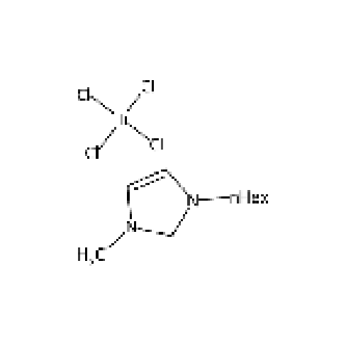 CCCCCCN1C=CN(C)C1.[Cl][Ti]([Cl])([Cl])[Cl]